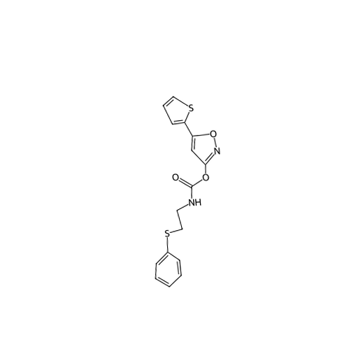 O=C(NCCSc1ccccc1)Oc1cc(-c2cccs2)on1